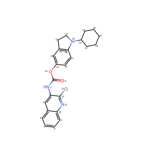 O=C(Nc1cc2ccccc2nc1Cl)Oc1ccc2c(c1)CCN2C1CCCCC1